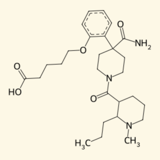 CCCC1C(C(=O)N2CCC(C(N)=O)(c3ccccc3OCCCCC(=O)O)CC2)CCCN1C